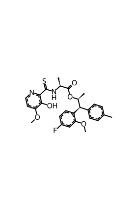 COc1cc(F)ccc1[C@H](c1ccc(C)cc1)[C@H](C)OC(=O)[C@H](C)NC(=S)c1nccc(OC)c1O